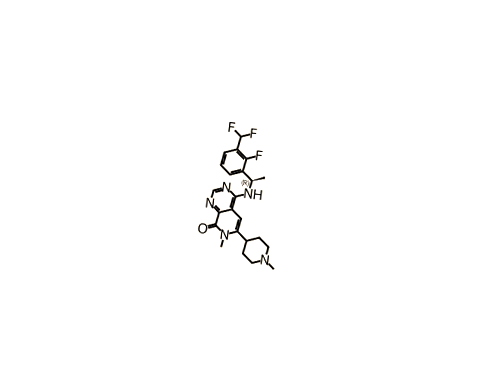 C[C@@H](Nc1ncnc2c(=O)n(C)c(C3CCN(C)CC3)cc12)c1cccc(C(F)F)c1F